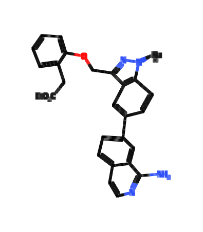 CCOC(=O)Cc1ccccc1OCc1nn([C@H](C)CC)c2ccc(-c3ccc4ccnc(N)c4c3)cc12